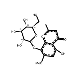 COc1cc(O)c2c(=O)cc(C)oc2c1O[C@@H]1O[C@H](CO)[C@@H](O)[C@H](O)[C@H]1O